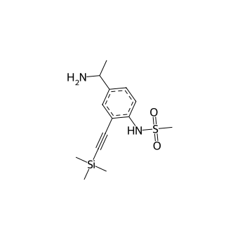 CC(N)c1ccc(NS(C)(=O)=O)c(C#C[Si](C)(C)C)c1